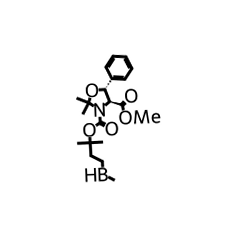 CBCCC(C)(C)OC(=O)N1[C@H](C(=O)OC)[C@@H](c2ccccc2)OC1(C)C